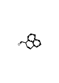 O=[C]C1C=Cc2cccc3cccc1c23